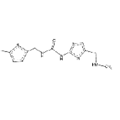 CNCc1csc(NC(=O)NCc2ccc(F)s2)n1